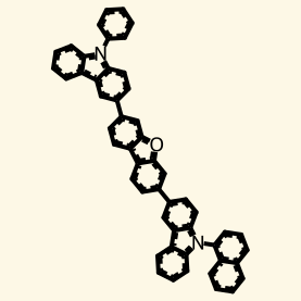 c1ccc(-n2c3ccccc3c3cc(-c4ccc5c(c4)oc4cc(-c6ccc7c(c6)c6ccccc6n7-c6cccc7ccccc67)ccc45)ccc32)cc1